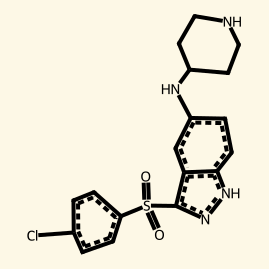 O=S(=O)(c1ccc(Cl)cc1)c1n[nH]c2ccc(NC3CCNCC3)cc12